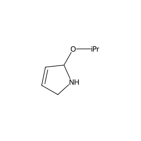 CC(C)OC1C=CCN1